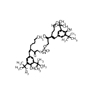 CCCCC(=Cc1cc(C(C)(C)C)c(O)c(C(C)(C)C)c1)C(=O)CO[PH](=O)OCC(=O)C(=Cc1cc(C(C)(C)C)c(O)c(C(C)(C)C)c1)CCCC